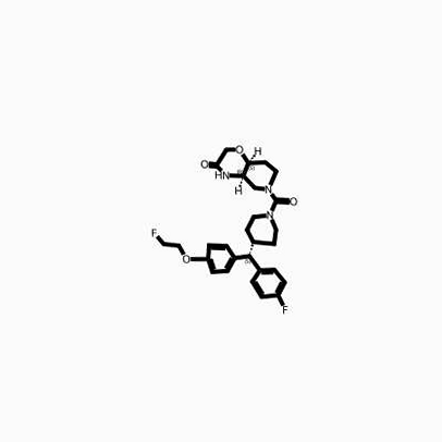 O=C1CO[C@H]2CCN(C(=O)N3CCC([C@H](c4ccc(F)cc4)c4ccc(OCCF)cc4)CC3)C[C@H]2N1